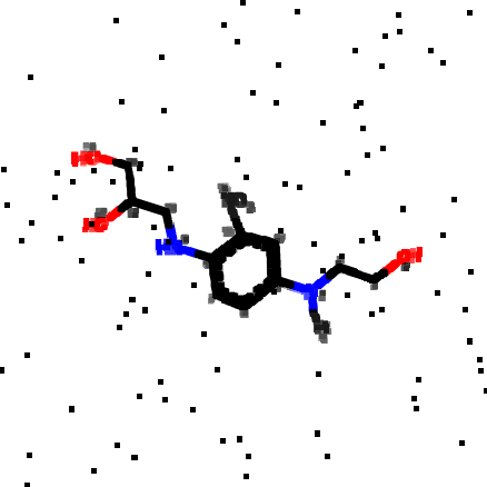 CCN(CCO)c1ccc(NCC(O)CO)c([N+](=O)[O-])c1